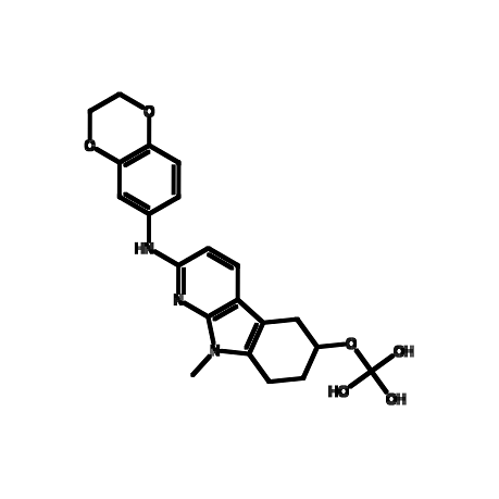 Cn1c2c(c3ccc(Nc4ccc5c(c4)OCCO5)nc31)CC(OC(O)(O)O)CC2